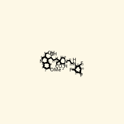 COc1ccc2ncc(CO)c([C@H](O)CCC3(CC(=O)O)CCN(CCNc4c(F)cc(F)cc4F)CC3)c2c1